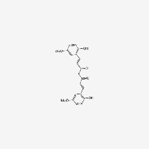 COc1ccc(O)c(C=CC(=O)CC(=O)C=Cc2cc(OC)ccc2O)c1